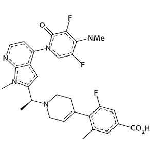 CNc1c(F)cn(-c2ccnc3c2cc([C@H](C)N2CC=C(c4c(C)cc(C(=O)O)cc4F)CC2)n3C)c(=O)c1F